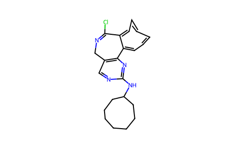 ClC1=NCc2cnc(NC3CCCCCCC3)nc2/C2=C/C=C\C=C\C=C/12